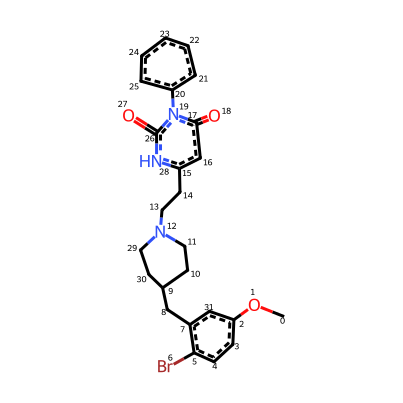 COc1ccc(Br)c(CC2CCN(CCc3cc(=O)n(-c4ccccc4)c(=O)[nH]3)CC2)c1